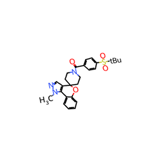 Cn1ncc2c1-c1ccccc1OC21CCN(C(=O)c2ccc(S(=O)(=O)C(C)(C)C)cc2)CC1